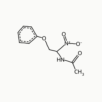 CC(=O)NC(COc1ccccc1)[N+](=O)[O-]